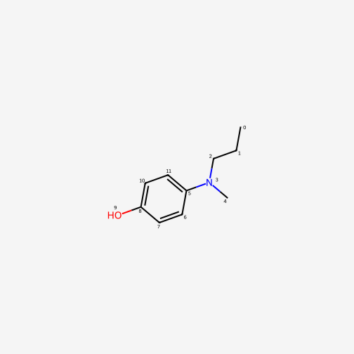 CCCN(C)c1ccc(O)cc1